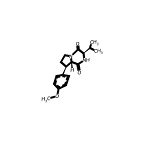 COc1ccc([C@H]2CCN3C(=O)[C@@H](C(C)C)NC(=O)[C@H]23)cc1